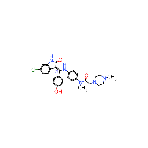 CN1CCN(CC(=O)N(C)c2ccc(N/C(=C3\C(=O)Nc4cc(Cl)ccc43)c3ccc(O)cc3)cc2)CC1